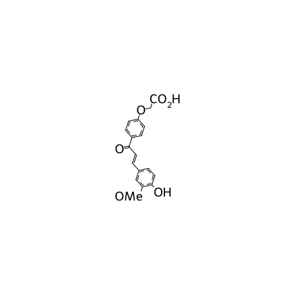 COc1cc(/C=C/C(=O)c2ccc(OCC(=O)O)cc2)ccc1O